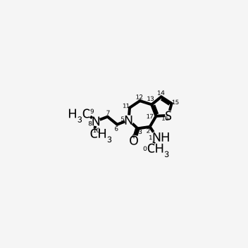 CNC1C(=O)N(CCN(C)C)CCc2ccsc21